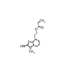 C=CC(=O)OCCc1cccc2c1sc(=N)n2C